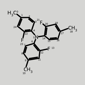 Cc1ccc(N(c2ccc(C)cc2F)c2ccc(C)cc2F)c(F)c1